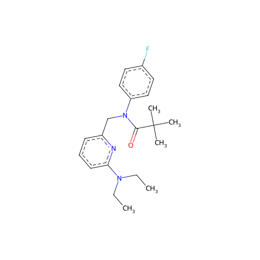 CCN(CC)c1cccc(CN(C(=O)C(C)(C)C)c2ccc(F)cc2)n1